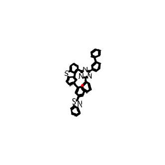 c1ccc(-c2cccc(-c3nc(-c4ccccc4)nc(-c4cccc5sc6ccc(-c7cccc(-c8nc9ccccc9s8)c7)cc6c45)n3)c2)cc1